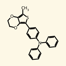 Cc1sc(-c2ccc(N(c3ccccc3)c3ccccc3)cc2)c2c1OCCO2